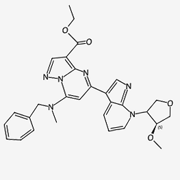 CCOC(=O)c1cnn2c(N(C)Cc3ccccc3)cc(-c3cnc4n(C5COC[C@H]5OC)cccc3-4)nc12